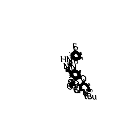 CC(C)(C)N1CCC(Oc2cc3nc(Nc4cccc(F)c4)ncc3cc2OS(=O)(=O)C(F)(F)F)CC1